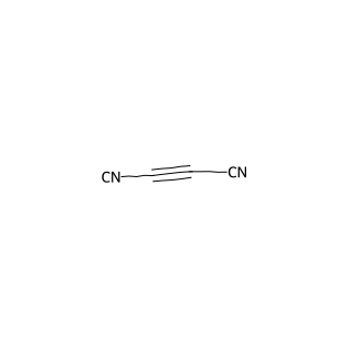 [C-]#[N+]C#CC#N